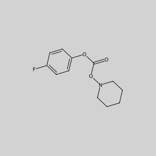 O=C(Oc1ccc(F)cc1)ON1CCCCC1